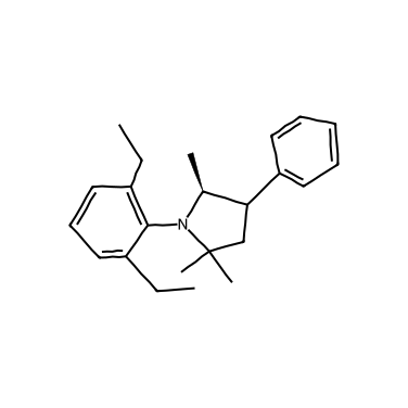 CCc1cccc(CC)c1N1[C@@H](C)C(c2ccccc2)CC1(C)C